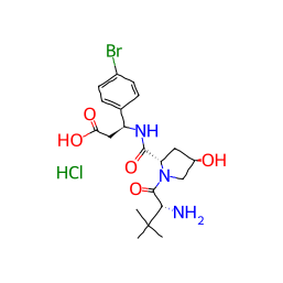 CC(C)(C)[C@@H](N)C(=O)N1C[C@H](O)C[C@H]1C(=O)N[C@@H](CC(=O)O)c1ccc(Br)cc1.Cl